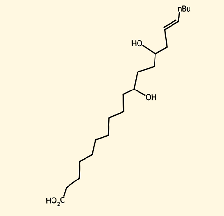 CCCCC=CCC(O)CCC(O)CCCCCCCCCC(=O)O